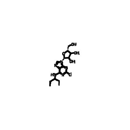 CCC(CC)Nc1nc(Cl)nc2c1ncn2[C@@H]1O[C@H](CO)C(O)C1O